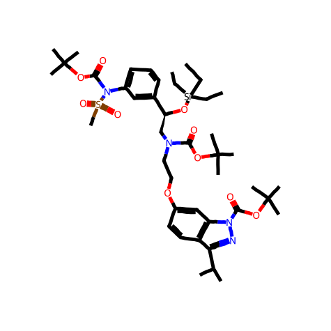 CC[Si](CC)(CC)O[C@@H](CN(CCOc1ccc2c(C(C)C)nn(C(=O)OC(C)(C)C)c2c1)C(=O)OC(C)(C)C)c1cccc(N(C(=O)OC(C)(C)C)S(C)(=O)=O)c1